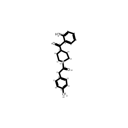 Nc1ccccc1C(=O)C1CCN(C(=O)Cc2ccc(C(F)(F)F)cc2)CC1